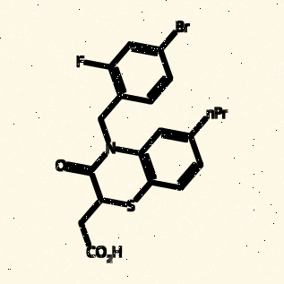 CCCc1ccc2c(c1)N(Cc1ccc(Br)cc1F)C(=O)C(CC(=O)O)S2